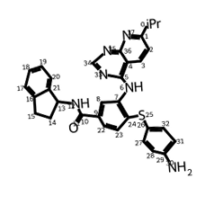 CC(C)c1ccc2c(Nc3cc(C(=O)NC4CCc5ccccc54)ccc3Sc3ccc(N)cc3)ncnc2n1